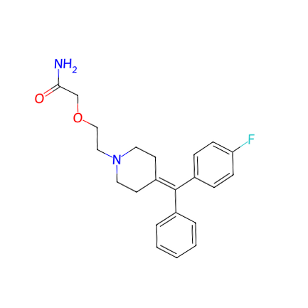 NC(=O)COCCN1CCC(=C(c2ccccc2)c2ccc(F)cc2)CC1